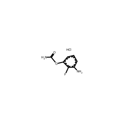 Cl.NC(=O)Oc1cccc(N)c1F